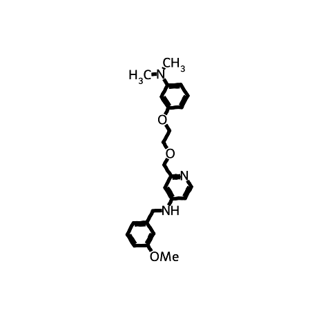 COc1cccc(CNc2ccnc(COCCOc3cccc(N(C)C)c3)c2)c1